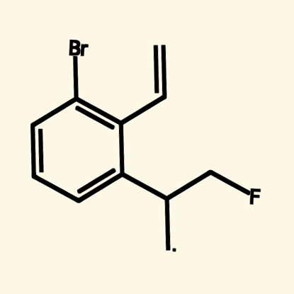 [CH2]C(CF)c1cccc(Br)c1C=C